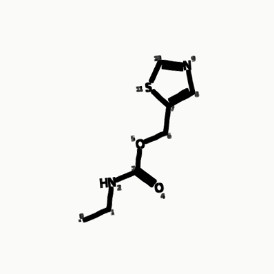 [CH2]CNC(=O)OCc1cncs1